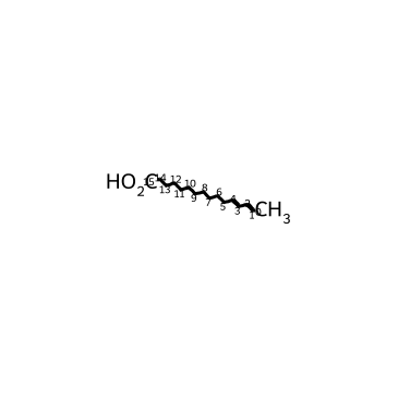 CC=CC=CCCCCCCCCCCC(=O)O